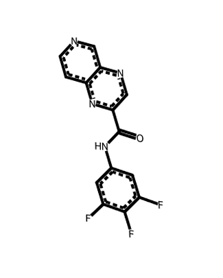 O=C(Nc1cc(F)c(F)c(F)c1)c1cnc2cnccc2n1